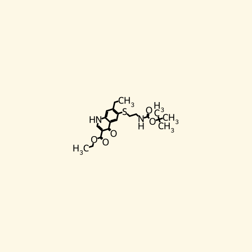 CCOC(=O)c1c[nH]c2cc(CC)c(SCCNC(=O)OC(C)(C)C)cc2c1=O